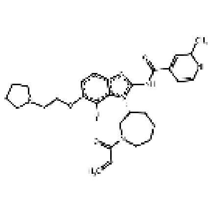 C=CC(=O)N1CCCC[C@@H](n2c(NC(=O)C3=CC(C)NC=C3)nc3ccc(OCCN4CCCC4)c(Cl)c32)C1